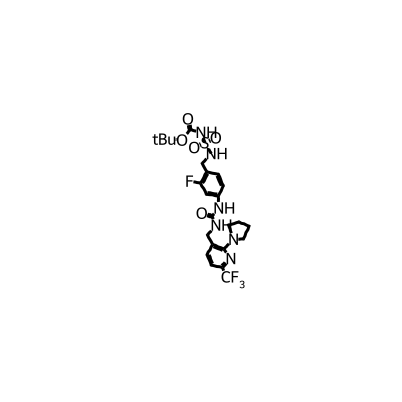 CC(C)(C)OC(=O)NS(=O)(=O)NCc1ccc(NC(=O)NCc2ccc(C(F)(F)F)nc2N2CCCC2)cc1F